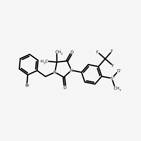 C[S+]([O-])c1ccc(N2C(=O)N(Cc3ccccc3Br)C(C)(C)C2=O)cc1C(F)(F)F